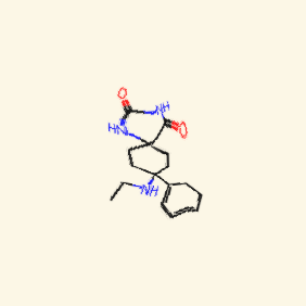 CCN[C@]1(C2=CC=CCC2)CC[C@@]2(CC1)NC(=O)NC2=O